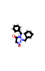 O=C1[CH][N+](=O)N(Cc2ccccc2)N1Cc1ccccc1